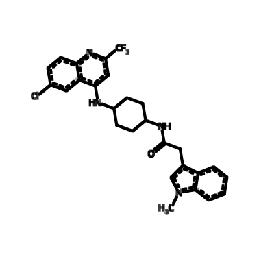 Cn1cc(CC(=O)NC2CCC(Nc3cc(C(F)(F)F)nc4ccc(Cl)cc34)CC2)c2ccccc21